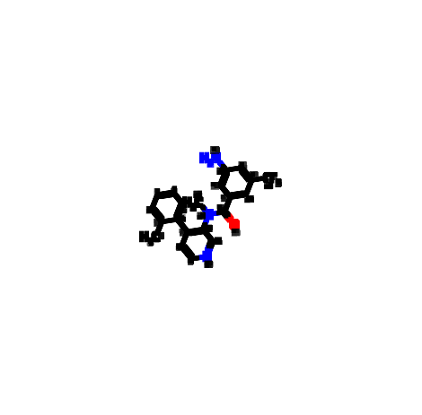 Cc1ccccc1-c1ccncc1N(C)C(=O)c1cc(N)cc(C(F)(F)F)c1